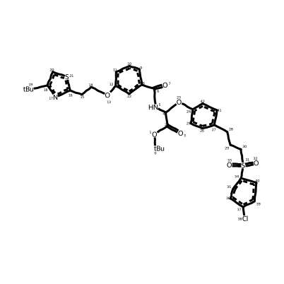 CC(C)(C)OC(=O)C(NC(=O)c1cccc(OCCc2nc(C(C)(C)C)cs2)c1)Oc1ccc(CCCS(=O)(=O)c2ccc(Cl)cc2)cc1